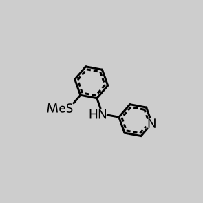 CSc1ccccc1Nc1ccncc1